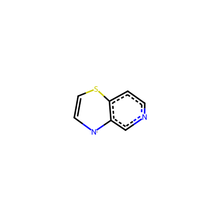 C1=CSc2ccncc2[N]1